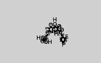 CC1C(=O)c2c(O)c(=O)c(C(=O)NCc3ccc(F)cc3F)cn2CC1OCCCP(=O)(O)O